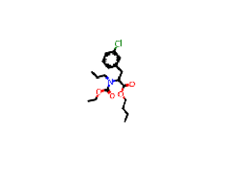 CCCCOC(=O)C(Cc1cccc(Cl)c1)N(CCC)C(=O)OCC